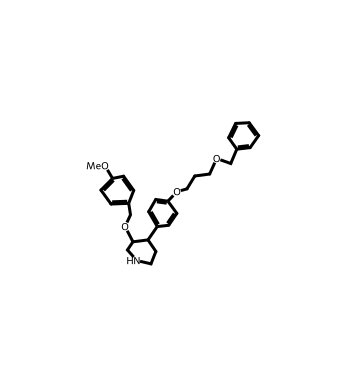 COc1ccc(COC2CNCCC2c2ccc(OCCCOCc3ccccc3)cc2)cc1